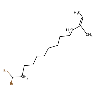 CC=C(C)[SiH2]CCCCCCCC[SiH2]C(Br)Br